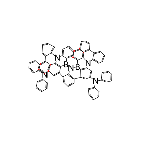 c1ccc(-c2ccccc2N2c3ccccc3B3c4c(cc(N(c5ccccc5)c5ccccc5)cc42)-c2cccc4c2N3B2c3ccccc3N(c3ccccc3-c3ccccc3)c3cc(N(c5ccccc5)c5ccccc5)cc-4c32)cc1